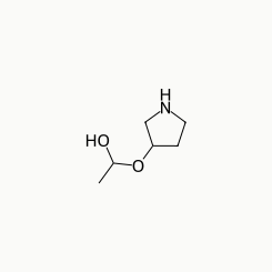 CC(O)OC1CCNC1